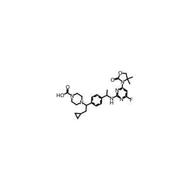 CC(Nc1nc(F)cc(N2C(=O)OCC2(C)C)n1)c1ccc(C(CC2CC2)N2CCN(C(=O)O)CC2)cc1